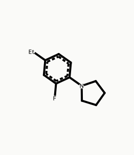 CCc1ccc(N2CCCC2)c(F)c1